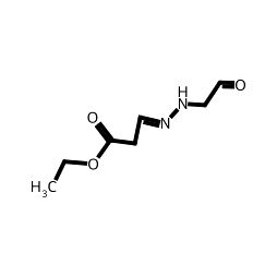 CCOC(=O)CC=NNCC=O